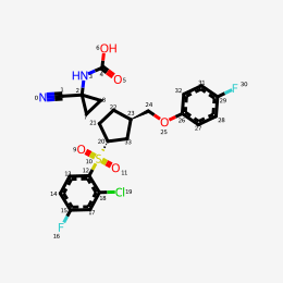 N#CC1(NC(=O)O)CC1.O=S(=O)(c1ccc(F)cc1Cl)[C@@H]1CC[C@@H](COc2ccc(F)cc2)C1